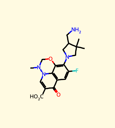 CN1COc2c(N3CC(CN)C(C)(C)C3)c(F)cc3c(=O)c(C(=O)O)cn1c23